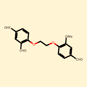 COc1cc(C=O)ccc1OCCOc1ccc(C=O)cc1C=O